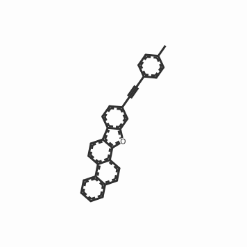 Cc1ccc(C#Cc2ccc3c(c2)oc2c3ccc3c4ccccc4ccc32)cc1